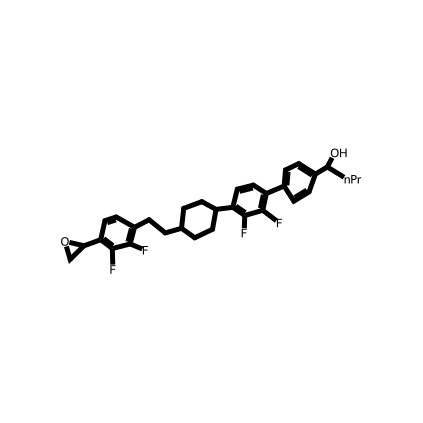 CCCC(O)c1ccc(-c2ccc(C3CCC(CCc4ccc(C5CO5)c(F)c4F)CC3)c(F)c2F)cc1